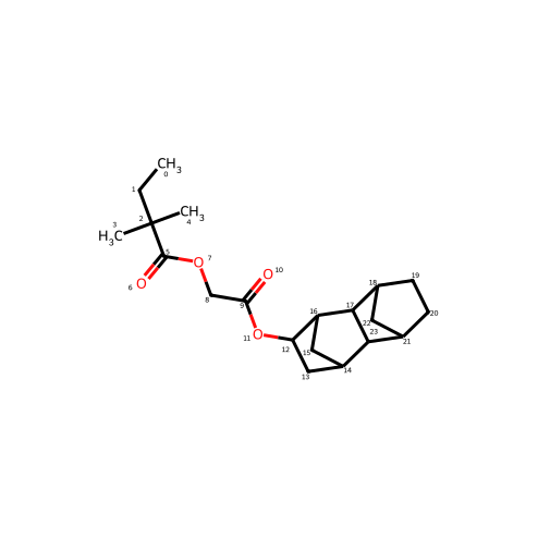 CCC(C)(C)C(=O)OCC(=O)OC1CC2CC1C1C3CCC(C3)C21